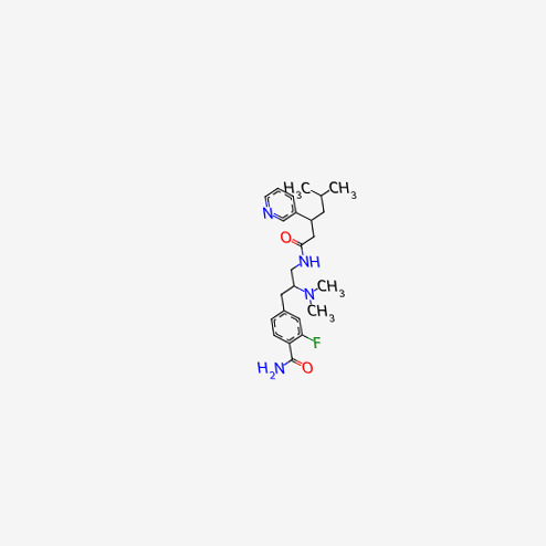 CC(C)CC(CC(=O)NCC(Cc1ccc(C(N)=O)c(F)c1)N(C)C)c1cccnc1